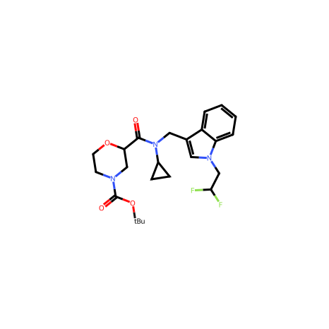 CC(C)(C)OC(=O)N1CCOC(C(=O)N(Cc2cn(CC(F)F)c3ccccc23)C2CC2)C1